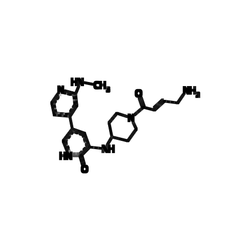 CNc1cc(-c2c[nH]c(=O)c(NC3CCN(C(=O)C=CCN)CC3)c2)ccn1